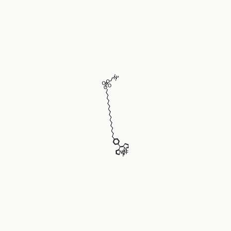 C[N+](C)(C)CCOP(=O)([O-])OCCCCCCCCCCCCCCCCCCc1ccc(C2=C3C=CC=[N+]3[B-](F)(F)n3cccc32)cc1